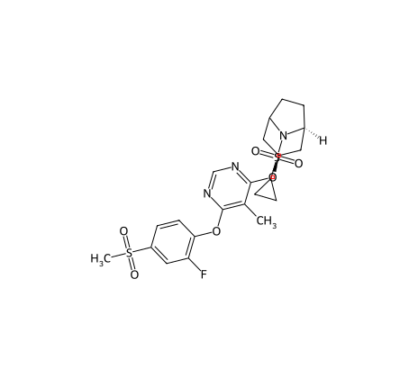 Cc1c(Oc2ccc(S(C)(=O)=O)cc2F)ncnc1O[C@H]1CC2CC[C@@H](C1)N2S(=O)(=O)C1CC1